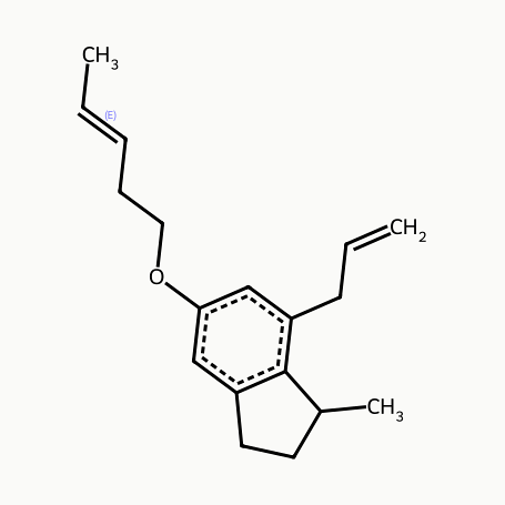 C=CCc1cc(OCC/C=C/C)cc2c1C(C)CC2